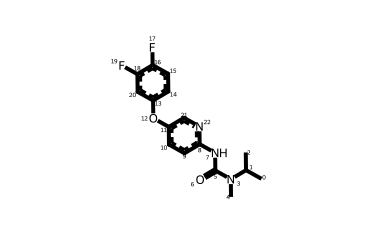 CC(C)N(C)C(=O)Nc1ccc(Oc2ccc(F)c(F)c2)cn1